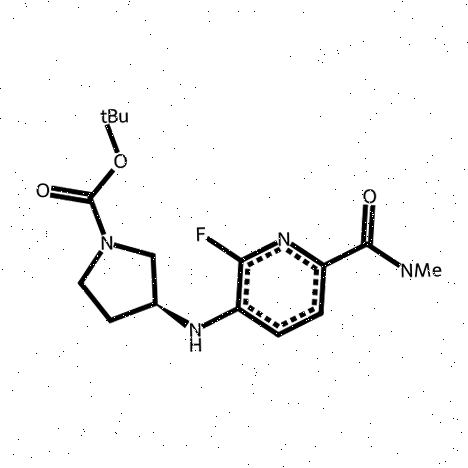 CNC(=O)c1ccc(N[C@H]2CCN(C(=O)OC(C)(C)C)C2)c(F)n1